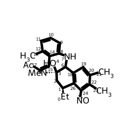 CC[C@H]1C[C@](O)(NC)C(Nc2cccc(C)c2/C=C\C(C)=O)c2cc(C)c(C)c(N=O)c21